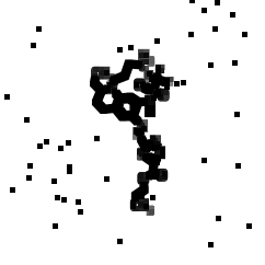 CCCCN1c2cc(NS(=O)(=O)C(F)(F)F)c(N=Nc3nnc(C(=O)OCCC)s3)cc2CCC1CC